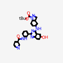 CC(C)(C)OC(=O)n1ncc2cc(Nc3nc(-c4cccc(NC(=O)c5cccnc5)c4)nc4ccc(O)cc34)ccc21